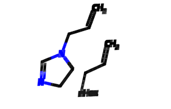 C=CCCCCCCC.C=CCN1C=NCC1